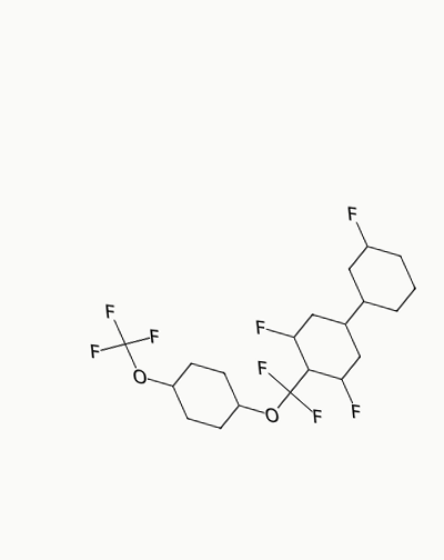 FC1CCCC(C2CC(F)C(C(F)(F)OC3CCC(OC(F)(F)F)CC3)C(F)C2)C1